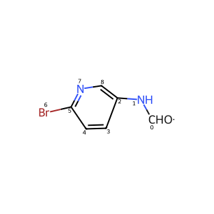 O=[C]Nc1ccc(Br)nc1